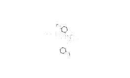 C=Cc1ccccc1OC[C@@H]1COCCN1C(=O)c1cccc(OCC)c1C=O